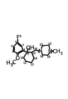 COc1ccc(F)cc1C1(O)CCCCC1CN1CCN(C)CC1